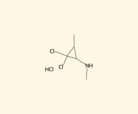 CNC1C(C)C1(Cl)Cl.Cl